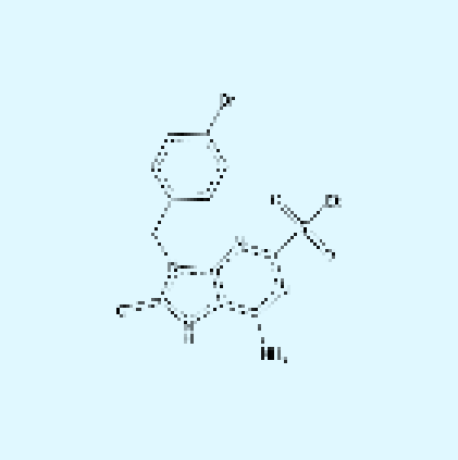 CCS(=O)(=O)c1nc(N)c2[nH]c(=O)n(Cc3ccc(Br)cc3)c2n1